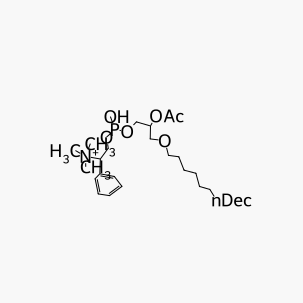 CCCCCCCCCCCCCCCCOCC(COP(O)OCC(c1ccccc1)[N+](C)(C)C)OC(C)=O